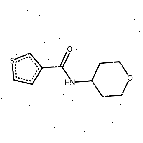 O=C(NC1CCOCC1)c1ccsc1